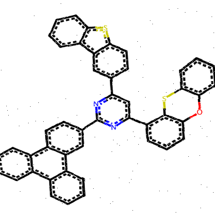 c1ccc2c(c1)Oc1cccc(-c3cc(-c4ccc5sc6ccccc6c5c4)nc(-c4ccc5c6ccccc6c6ccccc6c5c4)n3)c1S2